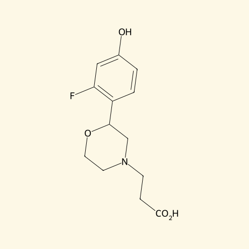 O=C(O)CCN1CCOC(c2ccc(O)cc2F)C1